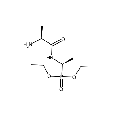 CCOP(=O)(OCC)[C@H](C)NC(=O)[C@H](C)N